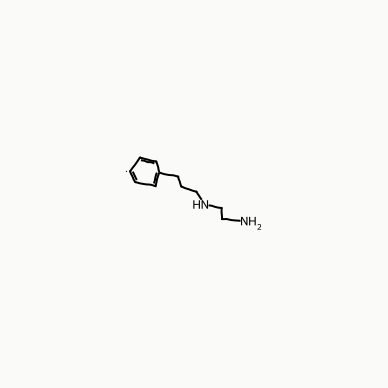 NCCNCCCc1cc[c]cc1